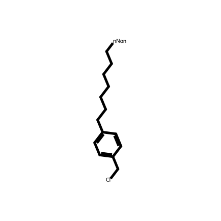 CCCCCCCCCCCCCCCCc1ccc(CCl)cc1